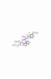 COc1cccc(C(=O)N[C@H](C(=O)N2C3CC[C@@H](C3)C2C(=O)NC(C=O)CC(=O)O)C(C)C)c1F